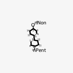 CCCCCCCCCO[C@H]1CC[C@H]([C@H]2CC[C@H](CCCCC)CC2)CC1